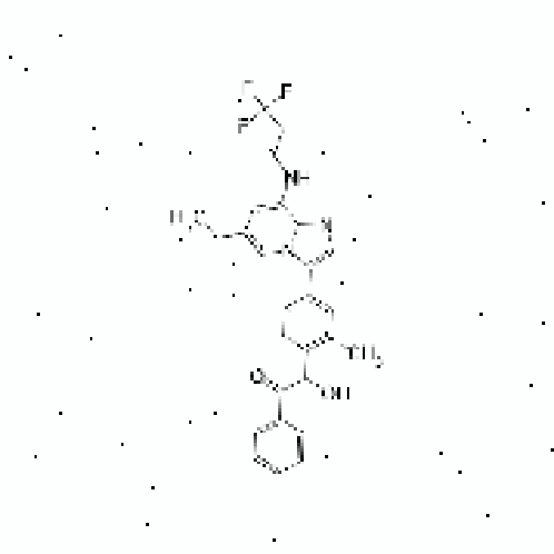 CCc1cc(NCCC(F)(F)F)c2ncc(-c3ccc(C(O)C(=O)c4ccccc4)c(C)c3)n2c1